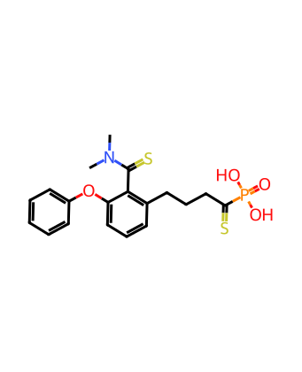 CN(C)C(=S)c1c(CCCC(=S)P(=O)(O)O)cccc1Oc1ccccc1